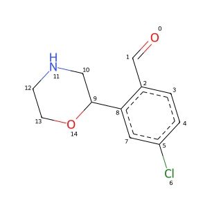 O=Cc1ccc(Cl)cc1C1CNCCO1